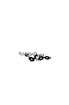 Cc1cn(-c2cccc(C3=Nc4ccc(-c5ccc(F)cc5)cc4NC(=O)C3)c2)c(C)n1